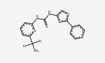 CCC(N)(CC)c1cccc(NC(=O)Nc2csc(-c3ccncc3)n2)n1